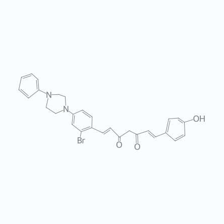 O=C(C=Cc1ccc(O)cc1)CC(=O)C=Cc1ccc(N2CCN(c3ccccc3)CC2)cc1Br